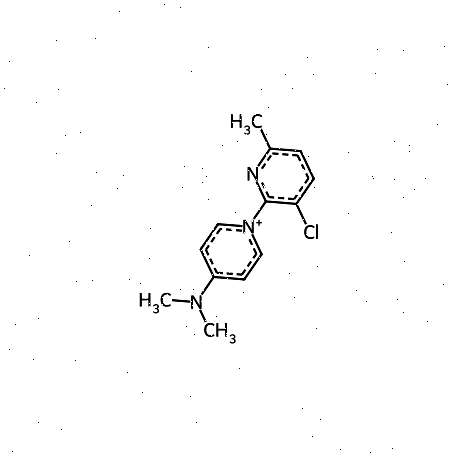 Cc1ccc(Cl)c(-[n+]2ccc(N(C)C)cc2)n1